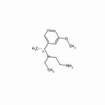 CCN(CCN)[C@H](C)c1cccc(OC)c1